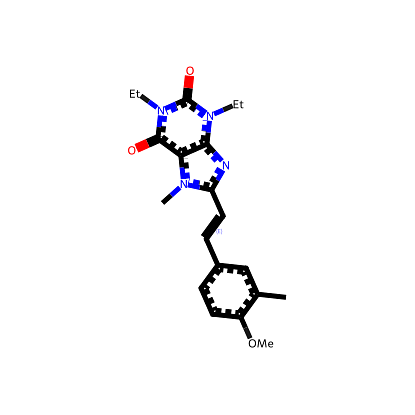 CCn1c(=O)c2c(nc(/C=C/c3ccc(OC)c(C)c3)n2C)n(CC)c1=O